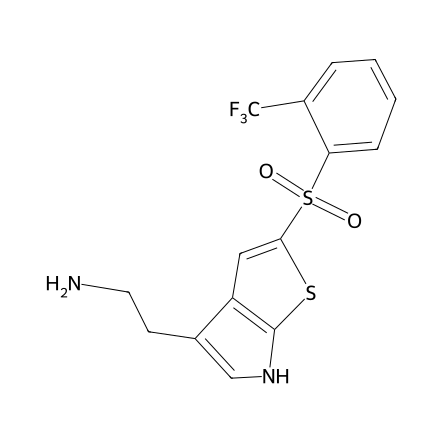 NCCc1c[nH]c2sc(S(=O)(=O)c3ccccc3C(F)(F)F)cc12